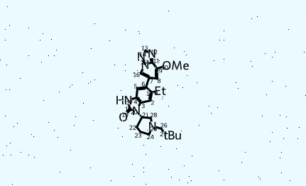 CCc1cc2c(cc1-c1cc(OC)c3ncnn3c1)[nH]c(=O)n2[C@@H]1CCCN(CC(C)(C)C)C1